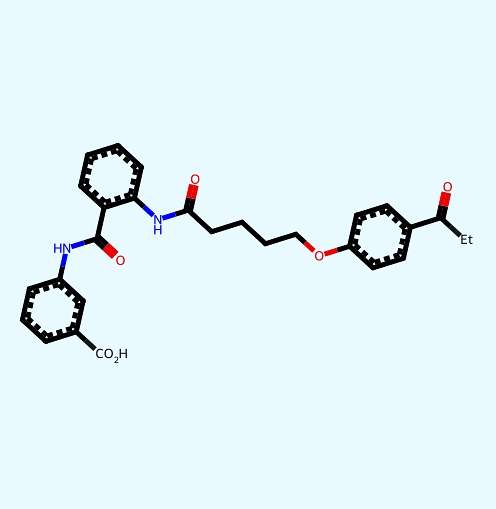 CCC(=O)c1ccc(OCCCCC(=O)Nc2ccccc2C(=O)Nc2cccc(C(=O)O)c2)cc1